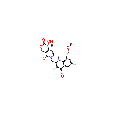 CCOCCc1cc(F)cc2c1N(C)C(Cn1ccc3c(c1=O)COC(=O)[C@]3(O)CC)=C(I)C2=C=O